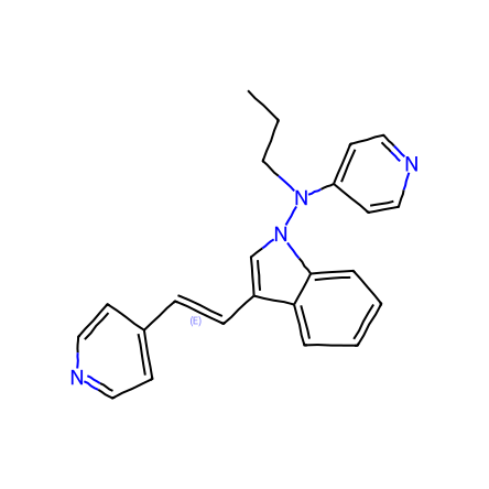 CCCN(c1ccncc1)n1cc(/C=C/c2ccncc2)c2ccccc21